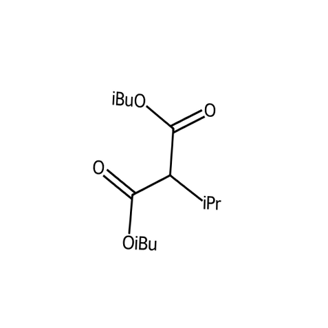 CC(C)COC(=O)C(C(=O)OCC(C)C)C(C)C